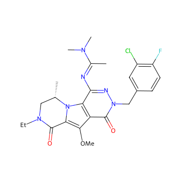 CCN1C[C@H](C)n2c(c(OC)c3c(=O)n(Cc4ccc(F)c(Cl)c4)nc(/N=C(\C)N(C)C)c32)C1=O